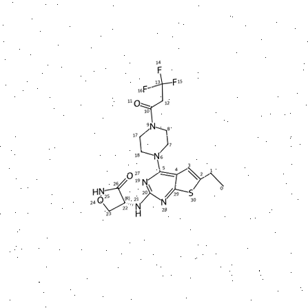 CCc1cc2c(N3CCN(C(=O)CC(F)(F)F)CC3)nc(N[C@@H]3CONC3=O)nc2s1